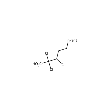 CCCCCCCC(Cl)C(Cl)(Cl)C(=O)O